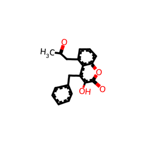 CC(=O)Cc1cccc2oc(=O)c(O)c(Cc3ccccc3)c12